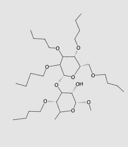 CCCCOC[C@@H]1O[C@H](OC2[C@@H](OCCCC)C(C)O[C@@H](OC)[C@H]2O)C(OCCCC)C(OCCCC)[C@@H]1OCCCC